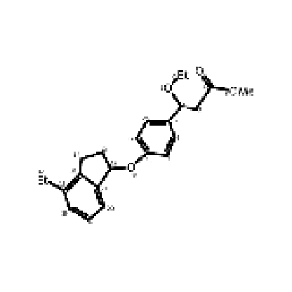 CCO[C@@H](CC(=O)OC)c1ccc(OC2CCc3c(CC)cccc32)cc1